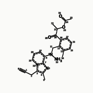 C#CCc1c(C)nc2c(N(N)Cc3c(C)cccc3C(=O)C(C)OC(C)=O)cccn12